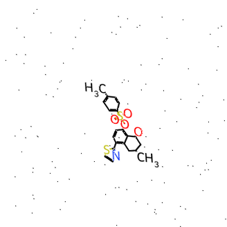 Cc1ccc(S(=O)(=O)Oc2ccc(-c3nccs3)c3c2C(=O)CC(C)C3)cc1